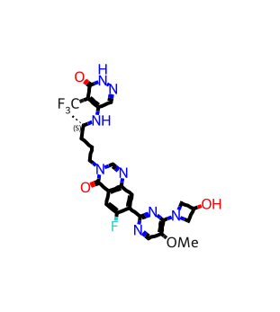 COc1cnc(-c2cc3ncn(CCC[C@H](C)Nc4cn[nH]c(=O)c4C(F)(F)F)c(=O)c3cc2F)nc1N1CC(O)C1